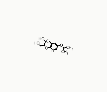 CC(C)Oc1cnc(OC(CO)CO)c(Cl)c1